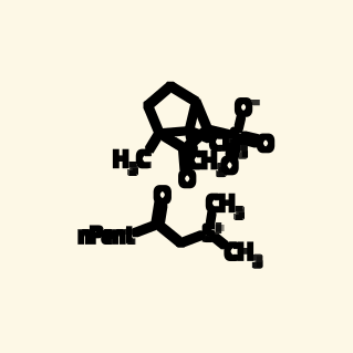 CC12CCC(C(S(=O)(=O)[O-])C1=O)C2(C)C.CCCCCC(=O)C[S+](C)C